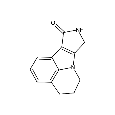 O=C1NCc2c1c1cccc3c1n2CCC3